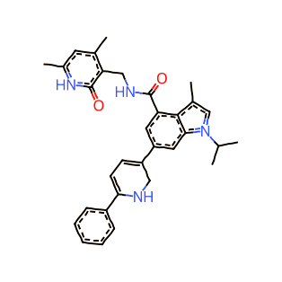 Cc1cc(C)c(CNC(=O)c2cc(C3=CC=C(c4ccccc4)NC3)cc3c2c(C)cn3C(C)C)c(=O)[nH]1